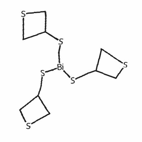 C1SCC1[S][Bi]([S]C1CSC1)[S]C1CSC1